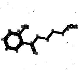 C=C(CCCCCCCCCCCC)c1ccccc1CC